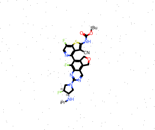 CC(C)N[C@H]1CN(c2ncc3c4c(c(-c5ncc(F)c6sc(NC(=O)OC(C)(C)C)c(C#N)c56)c(F)c3n2)COC4)C[C@@H]1F